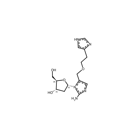 Nc1ncc(COCCc2c[nH]cn2)n1[C@@H]1C[C@H](O)[C@@H](CO)O1